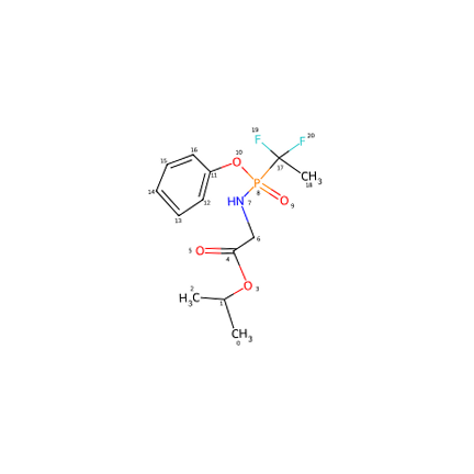 CC(C)OC(=O)CNP(=O)(Oc1ccccc1)C(C)(F)F